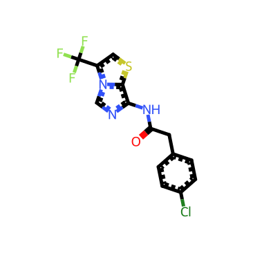 O=C(Cc1ccc(Cl)cc1)Nc1ncn2c(C(F)(F)F)csc12